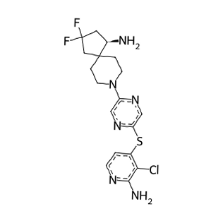 Nc1nccc(Sc2cnc(N3CCC4(CC3)CC(F)(F)C[C@H]4N)cn2)c1Cl